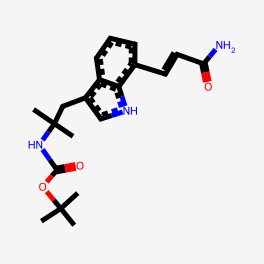 CC(C)(Cc1c[nH]c2c(C=CC(N)=O)cccc12)NC(=O)OC(C)(C)C